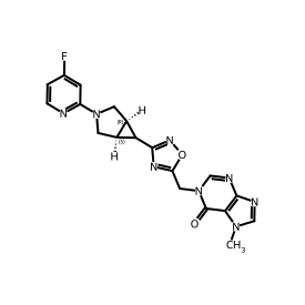 Cn1cnc2ncn(Cc3nc(C4[C@H]5CN(c6cc(F)ccn6)C[C@@H]45)no3)c(=O)c21